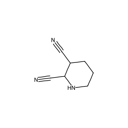 N#CC1CCCNC1C#N